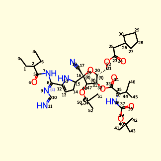 CCC(CC)C(=O)N/C(=N/C=N)C1=CCC([C@]2(C#N)O[C@H](COC(=O)CC3CCCC3)[C@@H](OC(=O)[C@@H](NC(=O)OC(C)(C)C)C(C)C)C2O[Si](C)(C)C)N1